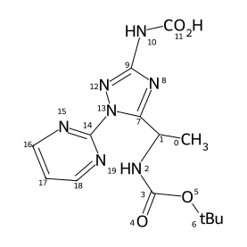 CC(NC(=O)OC(C)(C)C)c1nc(NC(=O)O)nn1-c1ncccn1